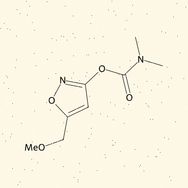 COCc1cc(OC(=O)N(C)C)no1